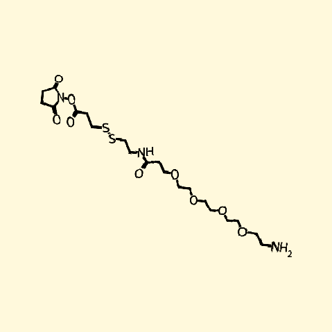 NCCOCCOCCOCCOCCC(=O)NCCSSCCC(=O)ON1C(=O)CCC1=O